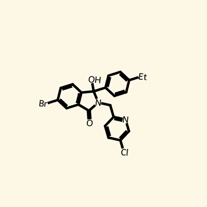 CCc1ccc(C2(O)c3ccc(Br)cc3C(=O)N2Cc2ccc(Cl)cn2)cc1